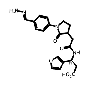 NN=Cc1ccc(N2CCC(CC(=O)N[C@@H](CC(=O)O)c3ccoc3)C2=O)cc1